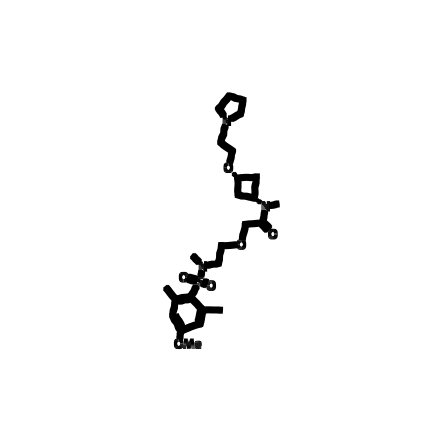 COc1cc(C)c(S(=O)(=O)N(C)CCOCC(=O)N(C)[C@H]2C[C@@H](OCCN3CCCC3)C2)c(C)c1